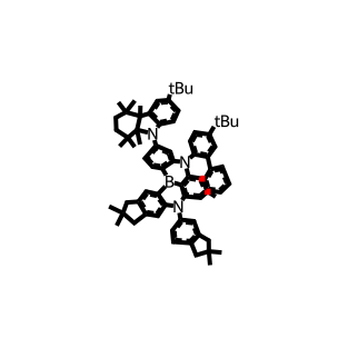 Cc1cc2c3c(c1)N(c1ccc(C(C)(C)C)cc1-c1ccccc1)c1cc(N4c5ccc(C(C)(C)C)cc5C5(C)C(C)(C)CCC(C)(C)C45C)ccc1B3c1cc3c(cc1N2c1ccc2c(c1)CC(C)(C)C2)CC(C)(C)C3